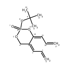 C=C/C=C1/COP(=O)(OC(C)(C)C)O/C1=C/C=C